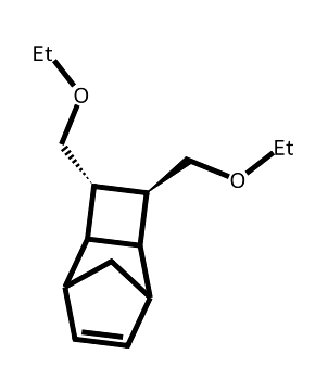 CCOC[C@H]1C2C3C=CC(C3)C2[C@@H]1COCC